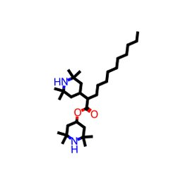 CCCCCCCCCCC(C(=O)OC1CC(C)(C)NC(C)(C)C1)C1CC(C)(C)NC(C)(C)C1